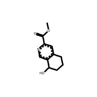 COC(=O)c1cc2c(cn1)C(O)CCC2